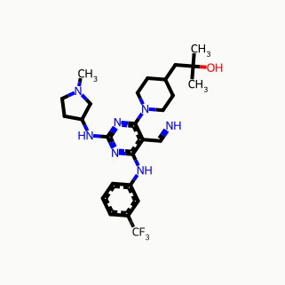 CN1CCC(Nc2nc(Nc3cccc(C(F)(F)F)c3)c(C=N)c(N3CCC(CC(C)(C)O)CC3)n2)C1